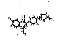 CC[C@H]1CCN(c2ccc(C(=O)Nc3cc(C)ccc3N)cc2)C1